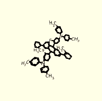 Cc1ccc(N(c2ccc(C)cc2)c2ccc(-c3c4ccc(-c5ccccc5C)cc4c(-c4ccc(N(c5ccc(C)cc5)c5ccc(C)cc5)cc4F)c4ccc(-c5ccccc5C)cc34)c(F)c2)cc1